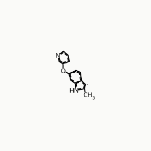 Cc1[c]c2ccc(Oc3cccnc3)cc2[nH]1